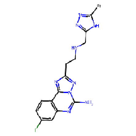 CCc1nnc(CNCCc2nc3c4ccc(F)cc4nc(N)n3n2)[nH]1